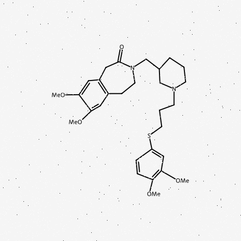 COc1ccc(SCCCN2CCCC(CN3CCc4cc(OC)c(OC)cc4CC3=O)C2)cc1OC